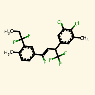 CCC(F)(F)c1cc(/C(F)=C/C(c2cc(C)c(Cl)c(Cl)c2)C(F)(F)F)ccc1C